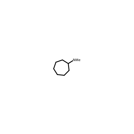 [CH2]NC1CCCCCC1